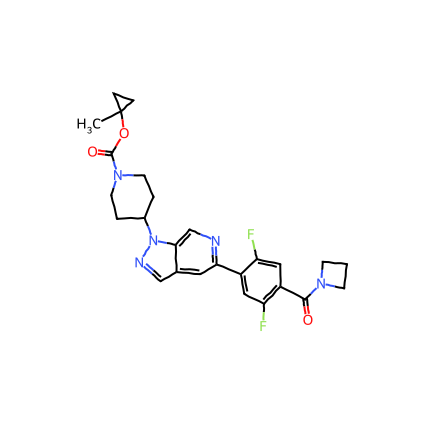 CC1(OC(=O)N2CCC(n3ncc4cc(-c5cc(F)c(C(=O)N6CCC6)cc5F)ncc43)CC2)CC1